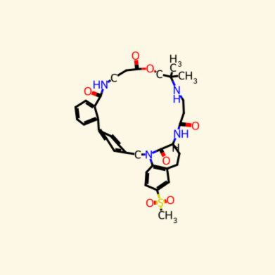 CC1(C)COC(=O)CCNC(=O)c2ccccc2-c2ccc(cc2)CN2C(=O)[C@@H](CCc3cc(S(C)(=O)=O)ccc32)NC(=O)CCN1